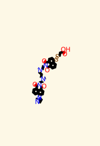 CN(CCCN(C)CCN1C(=O)c2cccc3c(-n4ccnc4)ccc(c23)C1=O)CCN1C(=O)c2cccc3c(SSCCC(=O)O)ccc(c23)C1=O